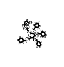 O=C(CO[C@@H]1OC(COCc2ccccc2)[C@H](OCc2ccccc2)[C@H](OCc2ccccc2)C1OCc1ccccc1)ON1C(=O)CCC1=O